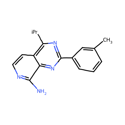 Cc1cccc(-c2nc(C(C)C)c3ccnc(N)c3n2)c1